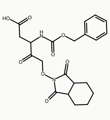 O=C(O)CC(NC(=O)OCc1ccccc1)C(=O)CON1C(=O)C2CCCCC2C1=O